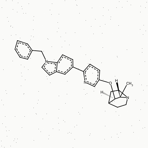 C[C@H]1[C@H](Oc2ccc(-c3ccc4c(ccn4Cc4ccccc4)c3)nc2)C2CCN1CC2